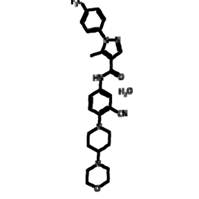 Cc1c(C(=O)Nc2ccc(N3CCC(N4CCOCC4)CC3)c(C#N)c2)cnn1-c1ccc(C(F)(F)F)cc1.O